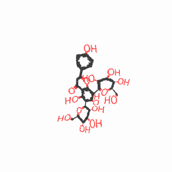 O=C1CC(c2ccc(O)cc2)Oc2c1c(O)c([C@@H]1O[C@H](CO)[C@@H](O)[C@H](O)[C@H]1O)c(O)c2[C@@H]1O[C@H](CO)[C@@H](O)[C@H](O)[C@H]1O